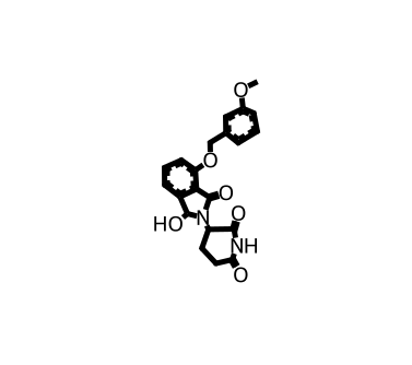 COc1cccc(COc2cccc3c2C(=O)N(C2CCC(=O)NC2=O)C3O)c1